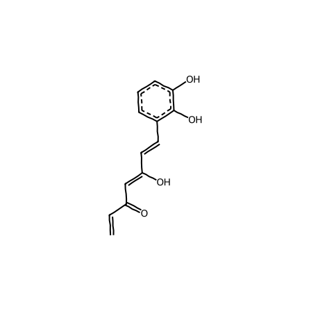 C=CC(=O)C=C(O)C=Cc1cccc(O)c1O